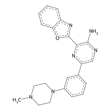 CN1CCN(c2cccc(-c3cnc(N)c(-c4nc5ccccc5o4)n3)c2)CC1